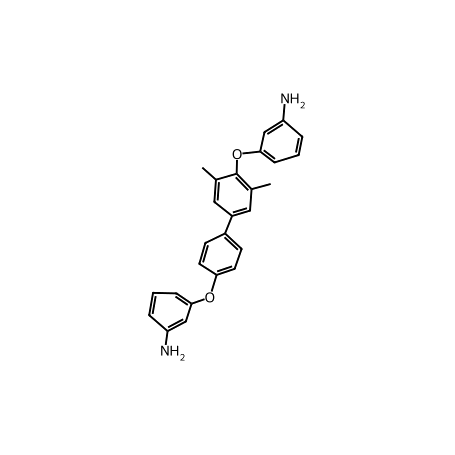 Cc1cc(-c2ccc(Oc3cccc(N)c3)cc2)cc(C)c1Oc1cccc(N)c1